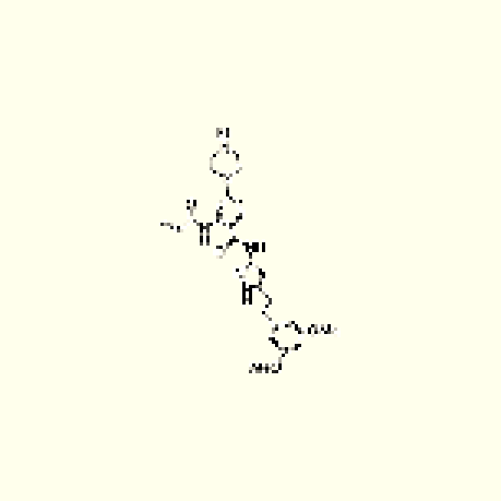 C=CC(=O)Nc1cc(N2CCN(CC)CC2)ccc1C(=O)Nc1cc(CCc2cc(OC)cc(OC)c2)[nH]n1